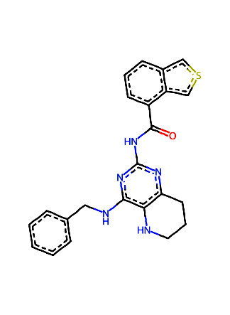 O=C(Nc1nc2c(c(NCc3ccccc3)n1)NCCC2)c1cccc2cscc12